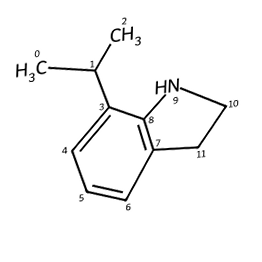 CC(C)c1cccc2c1NCC2